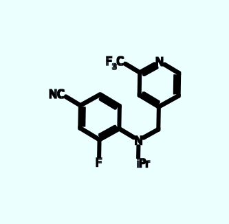 CC(C)N(Cc1ccnc(C(F)(F)F)c1)c1ccc(C#N)cc1F